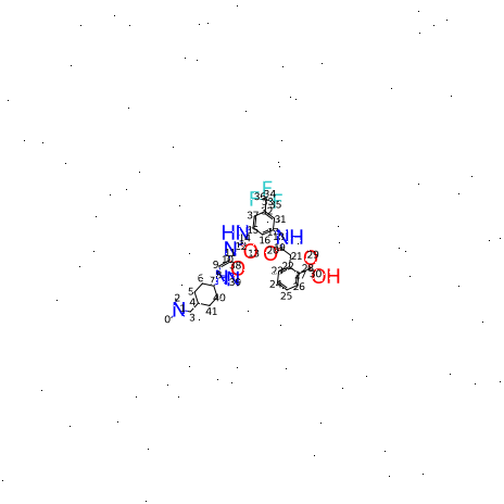 CN(C)CC1CCC([n+]2cc([N-]C(=O)Nc3cc(NC(=O)Cc4ccccc4C(=O)O)cc(C(F)(F)F)c3)on2)CC1